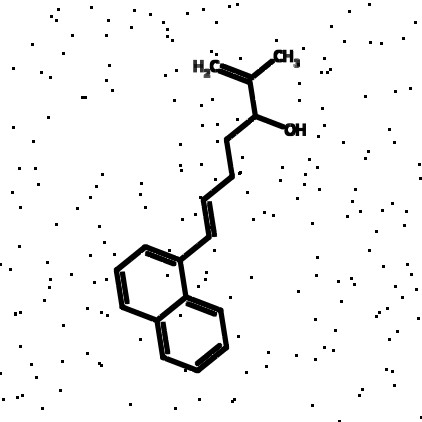 C=C(C)C(O)CCC=Cc1cccc2ccccc12